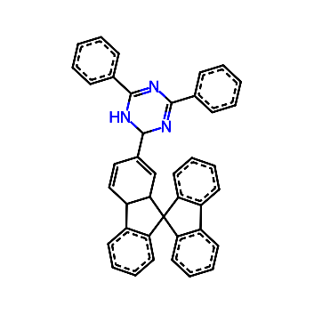 C1=CC2c3ccccc3C3(c4ccccc4-c4ccccc43)C2C=C1C1N=C(c2ccccc2)N=C(c2ccccc2)N1